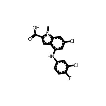 Cn1c(C(=O)O)cc2c(Nc3ccc(F)c(Cl)c3)cc(Cl)cc21